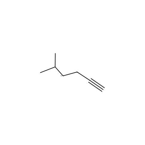 C#CC[CH]C(C)C